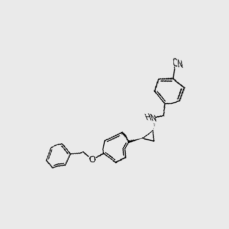 N#Cc1ccc(CN[C@@H]2C[C@H]2c2ccc(OCc3ccccc3)cc2)cc1